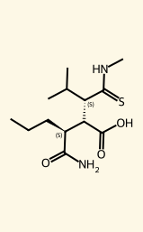 CCC[C@H](C(N)=O)C(C(=O)O)[C@@H](C(=S)NC)C(C)C